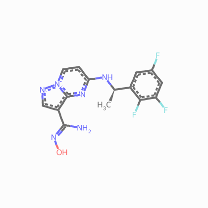 C[C@@H](Nc1ccn2ncc(/C(N)=N/O)c2n1)c1cc(F)cc(F)c1F